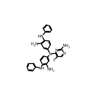 Nc1ncc(F)c(N(c2ccc(Nc3ccccc3)c(N)c2)c2ccc(Nc3ccccc3)c(N)c2)n1